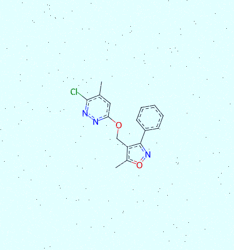 Cc1cc(OCc2c(-c3ccccc3)noc2C)nnc1Cl